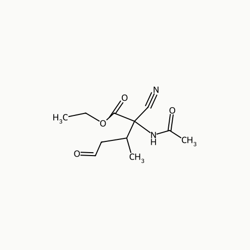 CCOC(=O)C(C#N)(NC(C)=O)C(C)CC=O